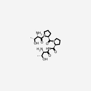 C[C@@H](O)[C@H](N)C(=O)NC(=O)[C@@H]1CCCN1C(=O)[C@@H]1CCCN1C(=O)[C@@H](N)[C@@H](C)O